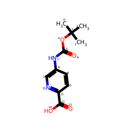 CC(C)(C)OC(=O)Nc1ccc(C(=O)O)nc1